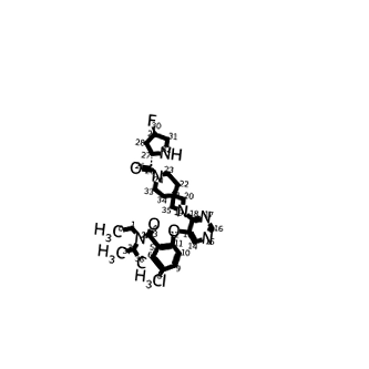 CCN(C(=O)c1cc(Cl)ccc1Oc1cncnc1N1CC2(CCN(C(=O)[C@@H]3C[C@@H](F)CN3)CC2)C1)C(C)C